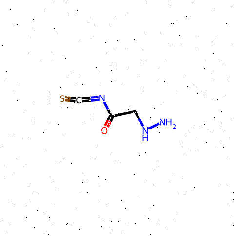 NNCC(=O)N=C=S